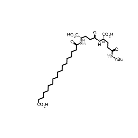 CCCCNC(=O)CC[C@H](NC(=O)CC[C@H](NC(=O)CCCCCCCCCCCCCCCCC(=O)O)C(=O)O)C(=O)O